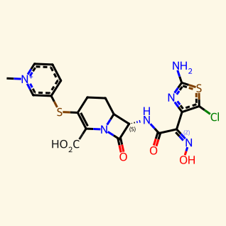 C[n+]1cccc(SC2=C(C(=O)O)N3C(=O)[C@@H](NC(=O)/C(=N\O)c4nc(N)sc4Cl)C3CC2)c1